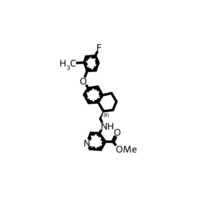 COC(=O)c1ccncc1NC[C@@H]1CCCc2cc(Oc3ccc(F)cc3C)ccc21